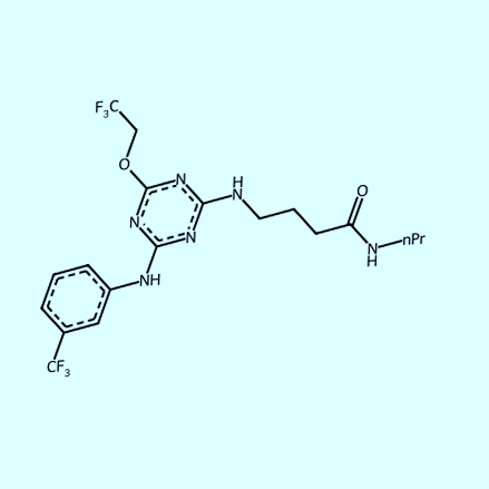 CCCNC(=O)CCCNc1nc(Nc2cccc(C(F)(F)F)c2)nc(OCC(F)(F)F)n1